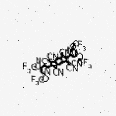 N#CC(C#N)=C1C(c2cc(OC(F)(F)F)cc(OC(F)(F)F)n2)=C(C#N)c2cc3c(cc21)C(C#N)=C(c1cc(OC(F)(F)F)cc(OC(F)(F)F)n1)C3=C(C#N)C#N